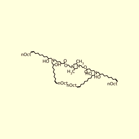 CCCCCCCC/C=C\CCCCCCC(O)CN(CCCCC(=O)OCCN1CC(C)N(CCOC(=O)CCCN(CC(O)CCCCCC/C=C\CCCCCCCC)CC(O)CCCCCC/C=C\CCCCCCCC)CC1C)CC(O)CCCCCC/C=C\CCCCCCCC